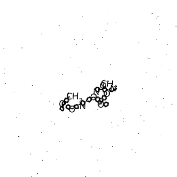 COc1cc(-c2cccnc2)c(Oc2ccc(P(=O)(c3ccccc3)c3ccc(Oc4ccc(-c5ccc(-c6ccc(Oc7ccc(P(=O)(c8ccccc8)c8ccc(C)cc8)cc7)cc6)nc5)cc4)cc3)cc2)cc1-c1cccnc1